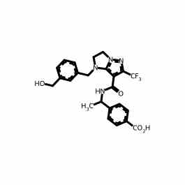 CC(NC(=O)c1c(C(F)(F)F)nn2c1N(Cc1cccc(CO)c1)CC2)c1ccc(C(=O)O)cc1